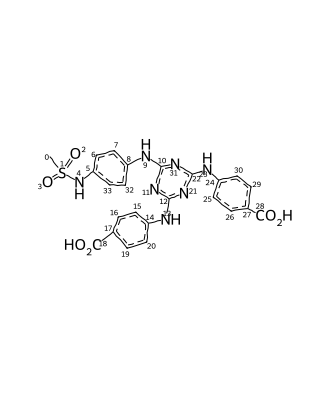 CS(=O)(=O)Nc1ccc(Nc2nc(Nc3ccc(C(=O)O)cc3)nc(Nc3ccc(C(=O)O)cc3)n2)cc1